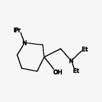 CCN(CC)CC1(O)CCCN(C(C)C)C1